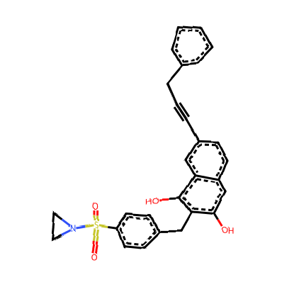 O=S(=O)(c1ccc(Cc2c(O)cc3ccc(C#CCc4ccccc4)cc3c2O)cc1)N1CC1